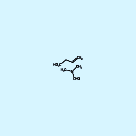 C=CCC(=O)O.CN(C)C=O